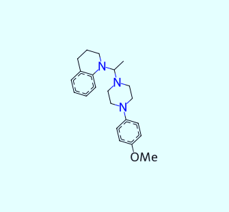 COc1ccc(N2CCN(C(C)N3CCCc4ccccc43)CC2)cc1